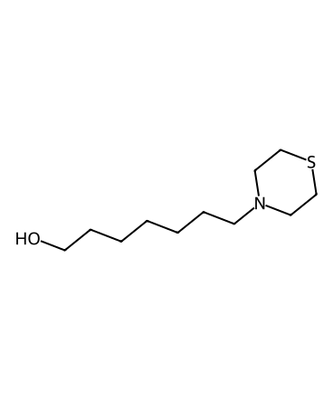 OCCCCCCCN1CCSCC1